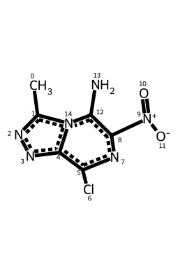 Cc1nnc2c(Cl)nc([N+](=O)[O-])c(N)n12